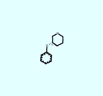 c1ccc(O[C@H]2CCC[N]C2)cc1